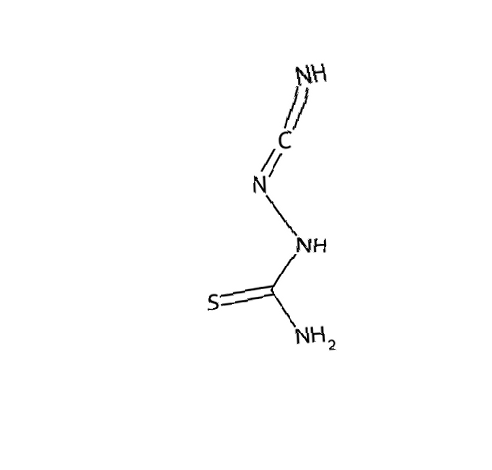 N=C=NNC(N)=S